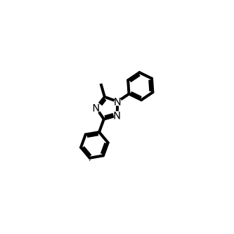 Cc1nc(-c2cc[c]cc2)nn1-c1ccccc1